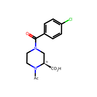 CC(=O)N1CCN(C(=O)c2ccc(Cl)cc2)C[C@H]1C(=O)O